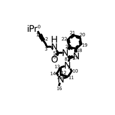 CC(C)C#CCNC(=O)n1c(N2CC3CC2CN3C)nc2ccccc21